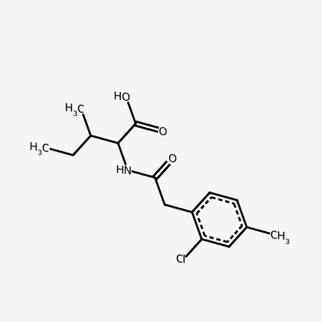 CCC(C)C(NC(=O)Cc1ccc(C)cc1Cl)C(=O)O